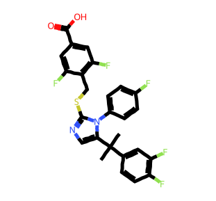 CC(C)(c1ccc(F)c(F)c1)c1cnc(SCc2c(F)cc(C(=O)O)cc2F)n1-c1ccc(F)cc1